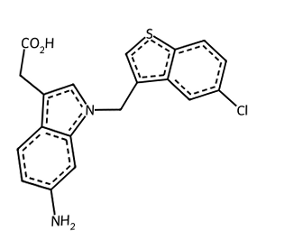 Nc1ccc2c(CC(=O)O)cn(Cc3csc4ccc(Cl)cc34)c2c1